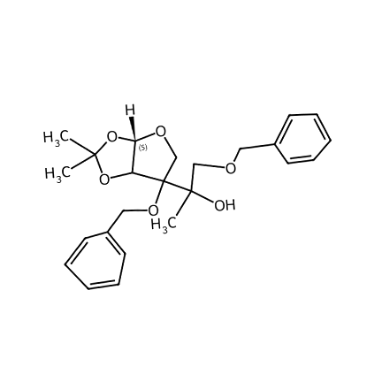 CC1(C)OC2[C@@H](OCC2(OCc2ccccc2)C(C)(O)COCc2ccccc2)O1